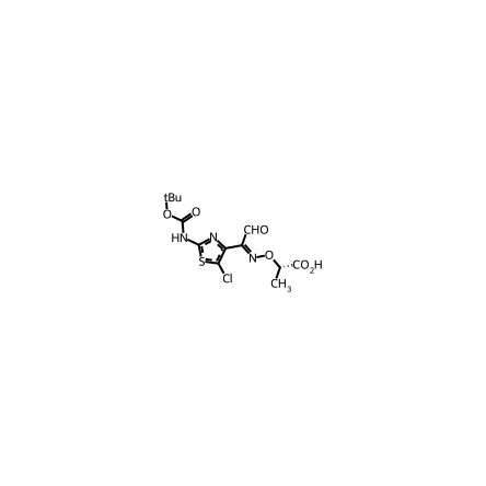 C[C@H](O/N=C(\C=O)c1nc(NC(=O)OC(C)(C)C)sc1Cl)C(=O)O